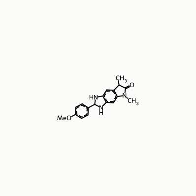 COc1ccc(C2Nc3cc4c(cc3N2)N(C)C(=O)C4C)cc1